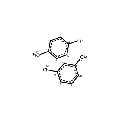 Oc1ccc(Cl)cc1.Oc1cccc(Cl)c1